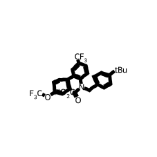 CC(C)(C)c1ccc(CN(C(=O)C(=O)O)c2ccc(C(F)(F)F)cc2-c2ccc(OC(F)(F)F)cc2)cc1